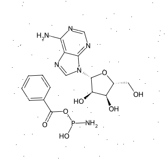 NP(O)OC(=O)c1ccccc1.Nc1ncnc2c1ncn2[C@@H]1O[C@H](CO)[C@@H](O)[C@H]1O